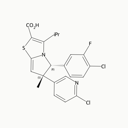 CC(C)C1=C(C(=O)O)SC2=C[C@@](C)(c3ccc(Cl)nc3)[C@@H](c3ccc(Cl)c(F)c3)N21